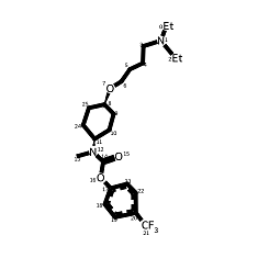 CCN(CC)CCCCO[C@H]1CC[C@H](N(C)C(=O)Oc2ccc(C(F)(F)F)cc2)CC1